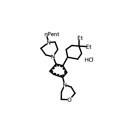 CCCCCN1CCN(c2ccc(N3CCOCC3)cc2C2CCC(CC)(CC)CC2)CC1.Cl